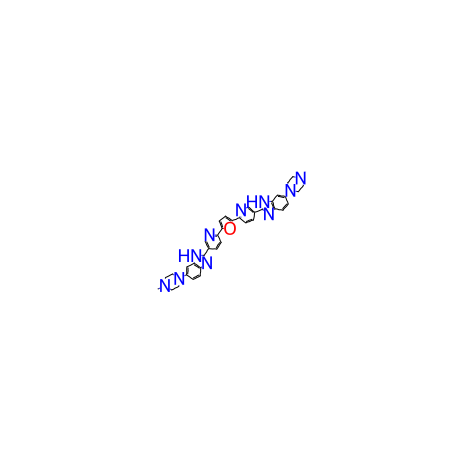 CN1CCN(c2ccc3nc(-c4ccc(-c5ccc(-c6ccc(-c7nc8ccc(N9CCN(C)CC9)cc8[nH]7)cn6)o5)nc4)[nH]c3c2)CC1